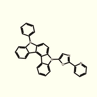 c1ccc(-n2c3ccccc3c3c4c5ccccc5n(-c5cnc(-c6ccccn6)o5)c4ccc32)cc1